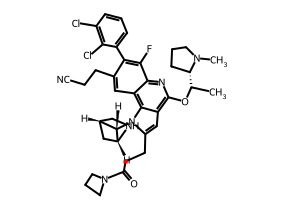 CC(Oc1nc2c(F)c(-c3cccc(Cl)c3Cl)c(CCC#N)cc2c2c1cc(CCC(=O)N1CCC1)n2[C@H]1[C@H]2CN[C@@H]1C2)[C@@H]1CCCN1C